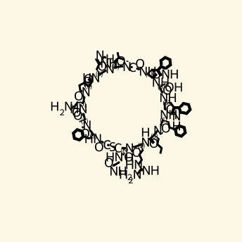 CCCC[C@H]1C(=O)N[C@@H](CCCNC(=N)N)C(=O)N[C@H](C(=O)NCC(N)=O)CSCC(=O)N[C@@H](Cc2ccccc2)C(=O)N(C)[C@@H](C)C(=O)N[C@@H](CC(N)=O)C(=O)N2CCC[C@H]2C(=O)N[C@@H](Cc2cnc[nH]2)C(=O)N[C@@H](CC(C)C)C(=O)N(C)CC(=O)N[C@@H](Cc2c[nH]c3ccccc23)C(=O)N[C@@H](CO)C(=O)N[C@@H](Cc2c[nH]c3ccccc23)C(=O)N[C@@H](CCc2ccccc2)C(=O)N1C